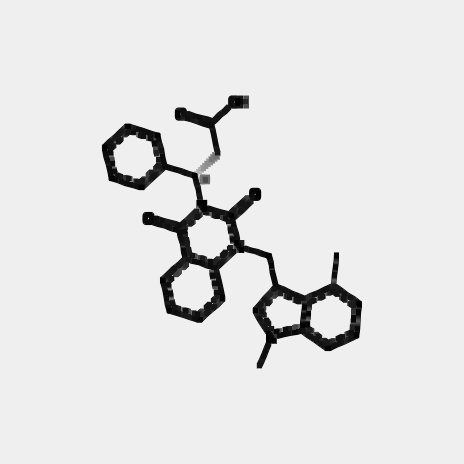 Cc1cccc2c1c(Cn1c(=O)n([C@@H](CC(=O)O)c3ccccc3)c(=O)c3ccccc31)cn2C